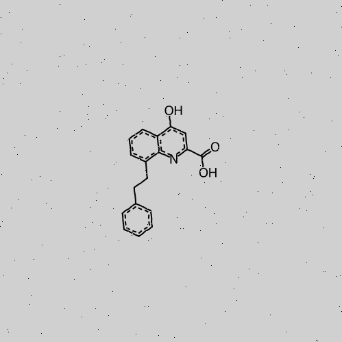 O=C(O)c1cc(O)c2cccc(CCc3ccccc3)c2n1